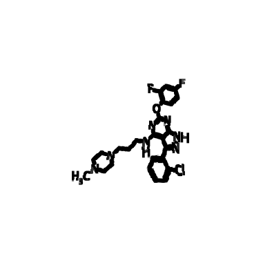 CN1CCN(CCCNc2nc(Oc3ccc(F)cc3F)nc3[nH]nc(-c4ccccc4Cl)c23)CC1